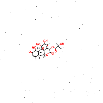 CCC(C)(O)C(=O)OC1C(=O)O[C@@H]2C[C@H]3C(C)=CC(=O)C(O)[C@]3(C)[C@H]3C4(O)OC[C@]32[C@@H]1[C@@H](C)C4O